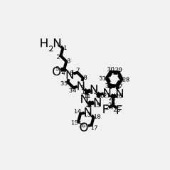 NCCCC(=O)N1CCN(c2nc(N3CCOCC3)nc(-n3c(C(F)F)nc4ccccc43)n2)CC1